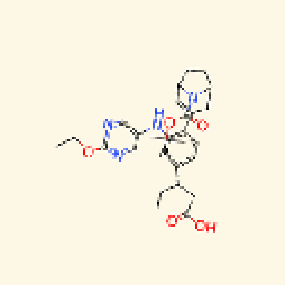 CCOc1ncc(Nc2cc(C(CC)CC(=O)O)ccc2C2=CC3CCC(C2)N3C(=O)OC(C)(C)C)cn1